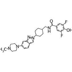 CN1CCN(c2ccc3cn(C4CCC(CNC(=O)c5cc(F)c(O)c(F)c5)CC4)nc3c2)CC1